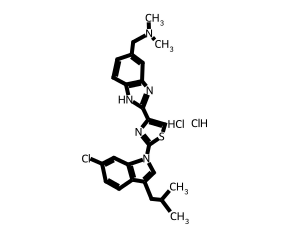 CC(C)Cc1cn(-c2nc(-c3nc4cc(CN(C)C)ccc4[nH]3)cs2)c2cc(Cl)ccc12.Cl.Cl